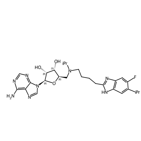 CC(C)c1cc2[nH]c(CCCCN(C[C@H]3O[C@@H](n4cnc5c(N)ncnc54)[C@H](O)[C@@H]3O)C(C)C)nc2cc1F